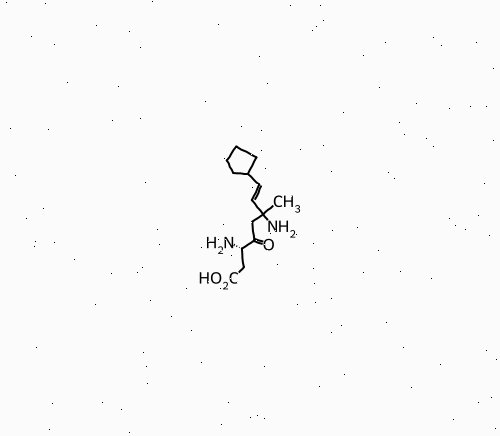 CC(N)(/C=C/C1CCCC1)CC(=O)[C@@H](N)CC(=O)O